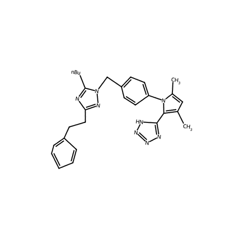 CCCCc1nc(CCc2ccccc2)nn1Cc1ccc(-n2c(C)cc(C)c2-c2nnn[nH]2)cc1